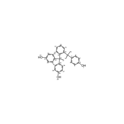 CC(C)(c1ccc(O)cc1)c1ccccc1C(C)(c1ccc(O)cc1)c1ccc(O)cc1